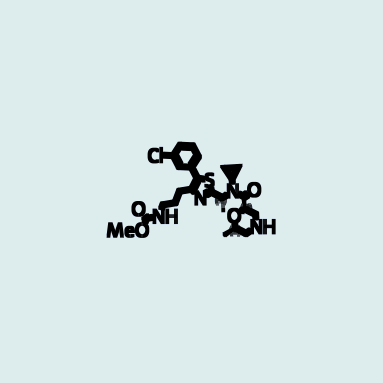 COC(=O)NCCCc1nc([C@@H](C)N(C(=O)[C@H]2CNC[C@@H](C)O2)C2CC2)sc1-c1cccc(Cl)c1